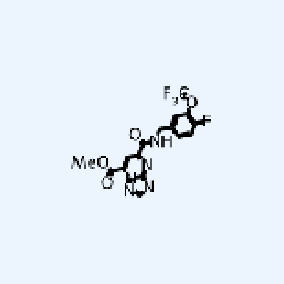 COC(=O)c1cc(C(=O)NCc2ccc(F)c(OC(F)(F)F)c2)nc2ncnn12